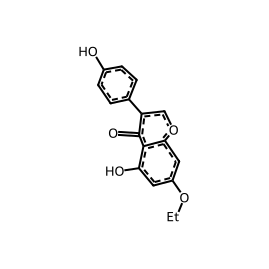 CCOc1cc(O)c2c(=O)c(-c3ccc(O)cc3)coc2c1